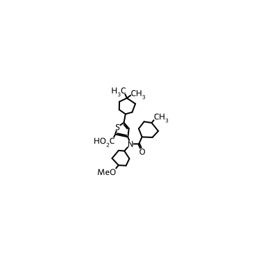 COC1CCC(N(C(=O)C2CCC(C)CC2)c2cc(C3CCC(C)(C)CC3)sc2C(=O)O)CC1